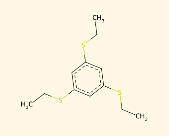 CCSc1[c]c(SCC)cc(SCC)c1